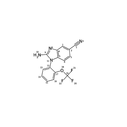 N#Cc1ccc2c(c1)nc(N)n2-c1ccccc1OC(F)(F)F